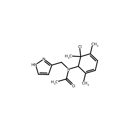 CC(=O)N(Cc1cc[nH]n1)C1C(C)=CC=C(C)C1(C)Cl